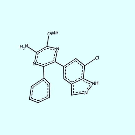 COc1nc(-c2cc(Cl)c3[nH]ncc3c2)c(-c2ccccc2)nc1N